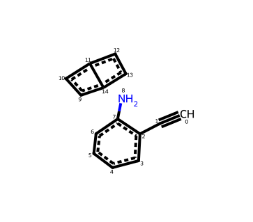 C#Cc1ccccc1N.c1cc2ccc1-2